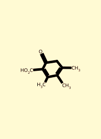 CC1=C(C)C(C)=C(C(=O)O)C(=O)C1